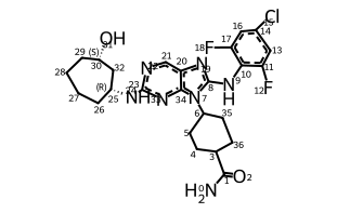 NC(=O)C1CCC(n2c(Nc3c(F)cc(Cl)cc3F)nc3cnc(N[C@@H]4CCCC[C@H](O)C4)nc32)CC1